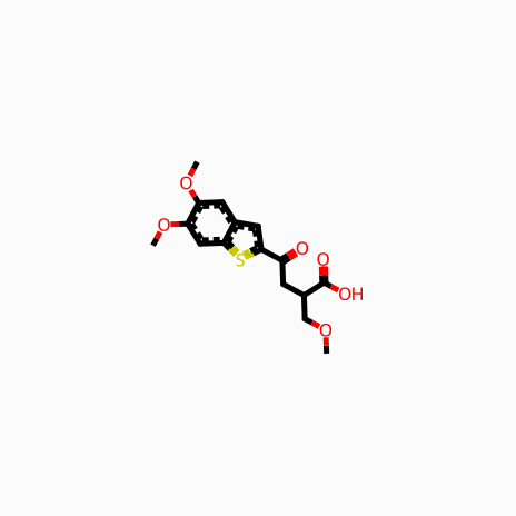 COCC(CC(=O)c1cc2cc(OC)c(OC)cc2s1)C(=O)O